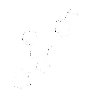 CC(C)(C)c1ccc(CSc2nnc(-c3ccccn3)n2Cc2ccco2)cc1